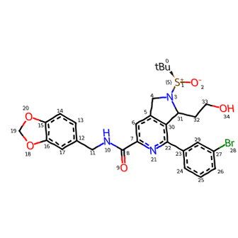 CC(C)(C)[S@@+]([O-])N1Cc2cc(C(=O)NCc3ccc4c(c3)OCO4)nc(-c3cccc(Br)c3)c2C1CCO